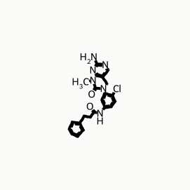 CN1C(=O)N(c2cc(NC(=O)CCc3ccccc3)ccc2Cl)Cc2cnc(N)nc21